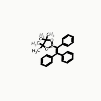 CC1(C)OB(C(=C(c2ccccc2)c2ccccc2)c2ccccc2)OC1(C)C